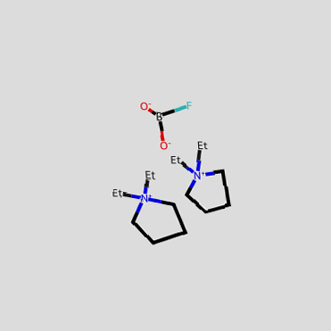 CC[N+]1(CC)CCCC1.CC[N+]1(CC)CCCC1.[O-]B([O-])F